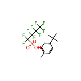 CC(C)(C)c1ccc(I)cc1.O=S(=O)(O)C(F)(F)C(F)(F)C(F)(F)C(F)(F)F